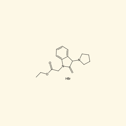 Br.C=C1C(N2CCCC2)c2ccccc2N1CC(=O)OCC